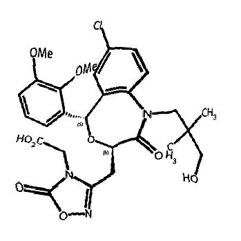 COc1cccc([C@H]2O[C@H](Cc3noc(=O)n3CC(=O)O)C(=O)N(CC(C)(C)CO)c3ccc(Cl)cc32)c1OC